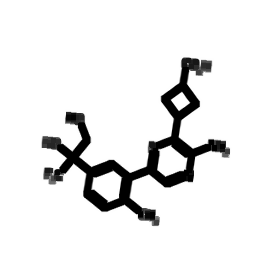 Cc1ccc(C(O)(CO)C(F)(F)F)cc1-c1cnc(N)c(C2CC(C(=O)O)C2)n1